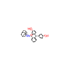 O=C(NCC12CC3CC(CC(C3)C1)C2)c1ccccc1C(c1ccc(O)cc1)c1ccc(O)cc1